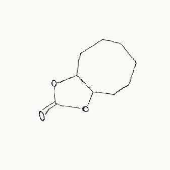 O=C1OC2CCCCCCC2O1